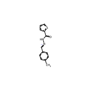 Cc1ccc(/C=N/NC(=O)c2cccs2)cc1